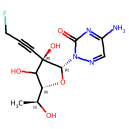 C[C@H](O)[C@H]1O[C@@H](n2ncc(N)nc2=O)[C@@](O)(C#CCF)C1O